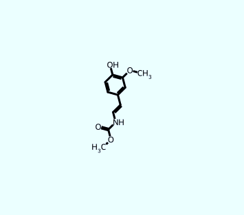 COC(=O)N/C=C/c1ccc(O)c(OC)c1